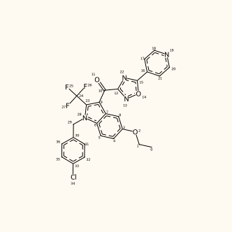 CCOc1ccc2c(c1)c(C(=O)c1noc(-c3ccncc3)n1)c(C(F)(F)F)n2Cc1ccc(Cl)cc1